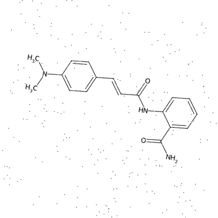 CN(C)c1ccc(C=CC(=O)Nc2ccccc2C(N)=O)cc1